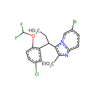 CCOC(=O)c1nc2ccc(Br)cn2c1C(CC(=O)O)c1cc(Cl)ccc1OC(F)F